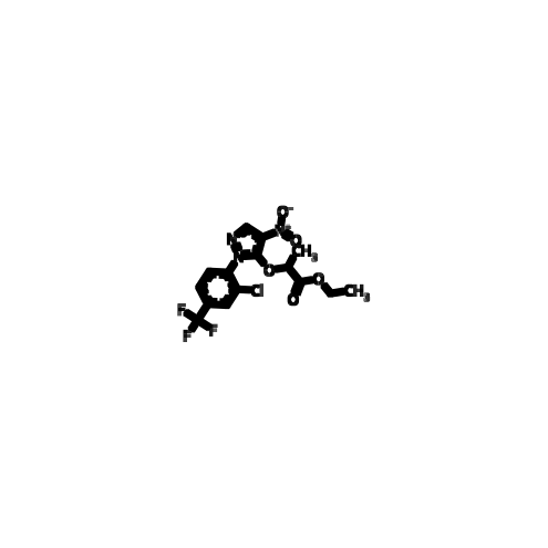 CCOC(=O)C(C)Oc1c([N+](=O)[O-])cnn1-c1ccc(C(F)(F)F)cc1Cl